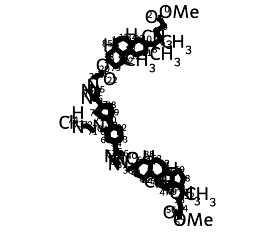 COC(=O)CC[C@@H](C)C(C)C1(C)CCC2[C@@H](CC[C@@H]3C[C@H](OC(=O)Cn4cc(-c5ccc6c7ccc(-c8cn(C[C@]9(O)CCC%10(C)C%11CCC%12(C)C([C@H](C)CCC(=O)OC)CC[C@H]%12[C@@H]%11CC[C@@H]%10C9)nn8)cc7n(CCNCl)c6c5)nn4)CCC23C)C1